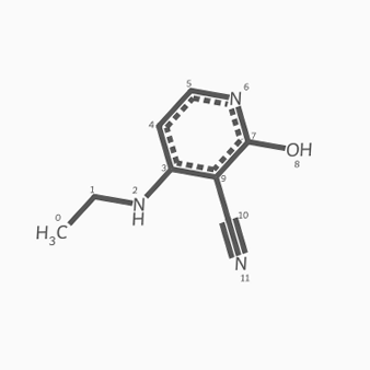 CCNc1ccnc(O)c1C#N